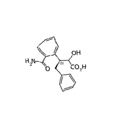 NC(=O)c1ccccc1[C@H](Cc1ccccc1)C(O)C(=O)O